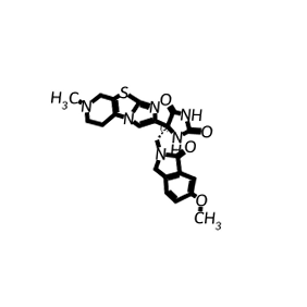 COc1ccc2c(c1)C(=O)N(C[C@@]1(c3cn4c5c(sc4n3)CN(C)CC5)NC(=O)NC1=O)C2